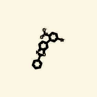 O=[N+]([O-])c1ccc(Br)cc1-c1ccc2nc(-c3ccccc3)oc2c1